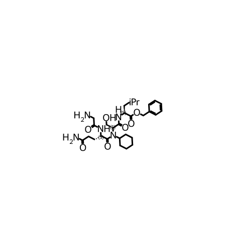 CC(C)C[C@H](NC(=O)[C@H](CO)N(C(=O)[C@H](CCC(N)=O)NC(=O)CN)C1CCCCC1)C(=O)OCc1ccccc1